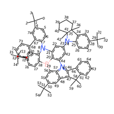 CC(C)(C)c1ccc(N2c3cc(C(C)(C)C)ccc3B3c4c2cc(N2c5ccc(C(C)(C)C)cc5C5(C)CCCCC25C)cc4-n2c4c(c5cc(C(C)(C)C)cc3c52)C(C)(C)c2ccccc2-4)c(-c2ccccc2)c1